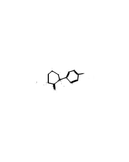 COc1ccc([C@]2(N)CCC[C@@H](OC)C2=O)cc1